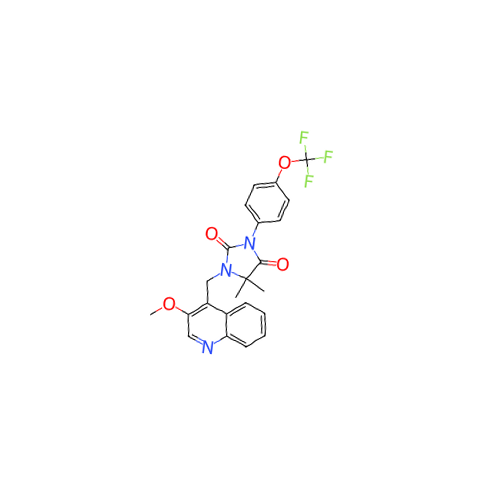 COc1cnc2ccccc2c1CN1C(=O)N(c2ccc(OC(F)(F)F)cc2)C(=O)C1(C)C